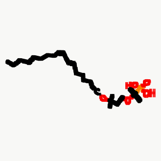 CCCCCCCC/C=C\CCCCCCCCOC(C)(C)CCOC(C)(C)P(=O)(O)O